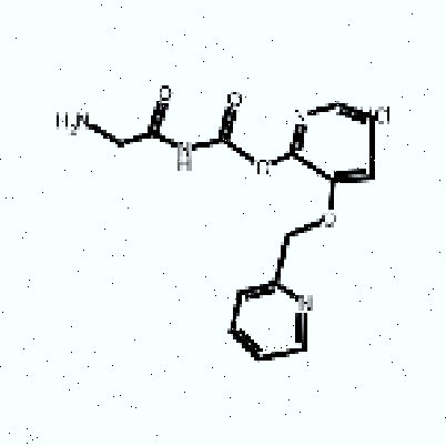 Cl.NCC(=O)NC(=O)Oc1ncccc1OCc1ccccn1